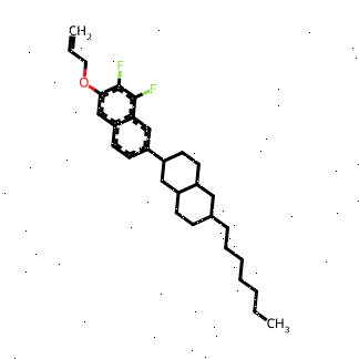 C=CCOc1cc2ccc(C3CCC4CC(CCCCCCC)CCC4C3)cc2c(F)c1F